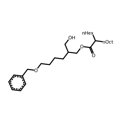 CCCCCCCCC(CCCCCC)C(=O)OCC(CO)CCCCOCc1ccccc1